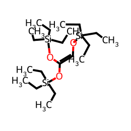 CC[Si](CC)(CC)OC=C(O[Si](CC)(CC)CC)O[Si](CC)(CC)CC